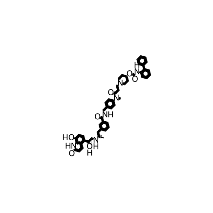 C[C@H](Cc1cccc(C(=O)NCc2ccc(N(C)C(=O)CCN3CCC(OC(=O)Nc4ccccc4-c4ccccc4)CC3)cc2)c1)NC[C@H](O)c1ccc(O)c2[nH]c(=O)ccc12